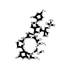 CCO[C@H]1CN(C)C(=O)[C@@H]2C[C@@H](CN2c2nc(C3(COS(=O)(=O)CC)COC3)nc3c2cnn3-c2ccc(F)cc2F)Nc2nccc(n2)-c2cc(F)cc3nc(C)n(c23)C1